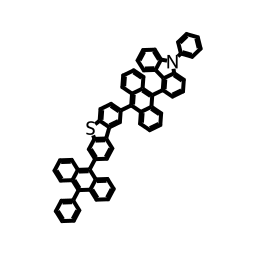 c1ccc(-c2c3ccccc3c(-c3ccc4c(c3)sc3ccc(-c5c6ccccc6c(-c6cccc7c6c6ccccc6n7-c6ccccc6)c6ccccc56)cc34)c3ccccc23)cc1